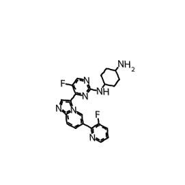 NC1CCC(Nc2ncc(F)c(-c3cnc4ccc(-c5ncccc5F)cn34)n2)CC1